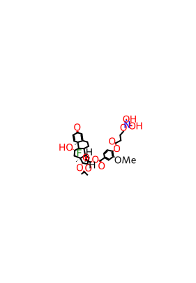 COc1cc(C(=O)OCC(=O)[C@@]23OC(C)(C)O[C@@H]2C[C@H]2C4CCC5=CC(=O)C=C[C@]5(C)[C@@]4(F)[C@@H](O)C[C@@]23C)ccc1OC(=O)CCCON(O)O